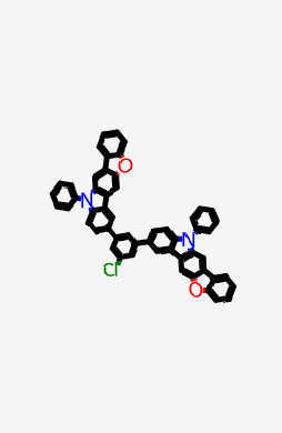 Clc1cc(-c2ccc3c(c2)c2cc4oc5ccccc5c4cc2n3-c2ccccc2)cc(-c2ccc3c(c2)c2cc4oc5ccccc5c4cc2n3-c2ccccc2)c1